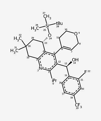 CC(C)c1nc2c(c(C3=CCOCC3)c1[C@@H](O)c1ccc(C(F)(F)F)cc1F)[C@@H](O[Si](C)(C)C(C)(C)C)CC(C)(C)C2